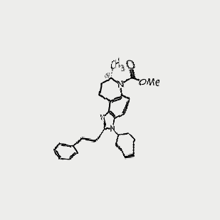 COC(=O)N1c2ccc3c(nc(CCc4ccccc4)n3C3CCCCC3)c2CC[C@@H]1C